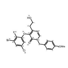 COc1ccc(Cn2cnc(CCO)c(Oc3cc(Cl)cc(Br)c3F)c2=O)cc1